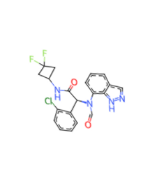 O=CN(c1cccc2cn[nH]c12)[C@H](C(=O)NC1CC(F)(F)C1)c1ccccc1Cl